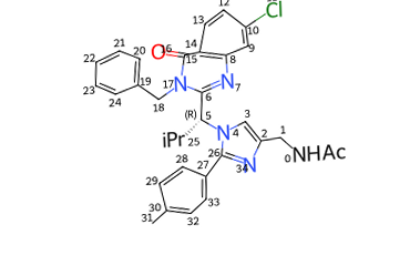 CC(=O)NCc1cn([C@@H](c2nc3cc(Cl)ccc3c(=O)n2Cc2ccccc2)C(C)C)c(-c2ccc(C)cc2)n1